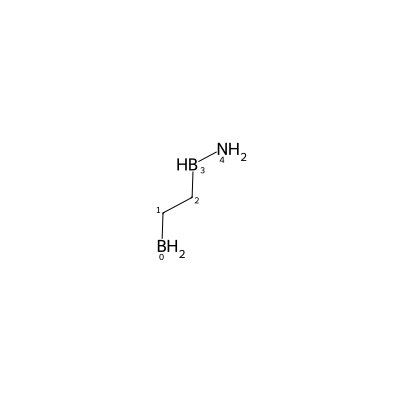 BCCBN